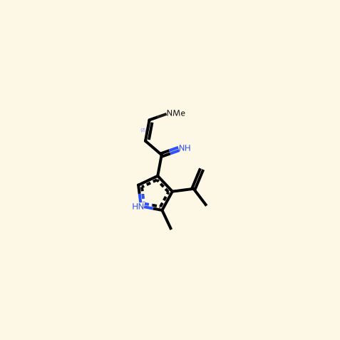 C=C(C)c1c(C(=N)/C=C\NC)c[nH]c1C